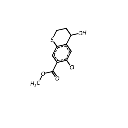 COC(=O)c1cc2c(cc1Cl)C(O)CCS2